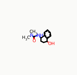 CN(C)C(=O)NC1CCC(O)c2ccccc21